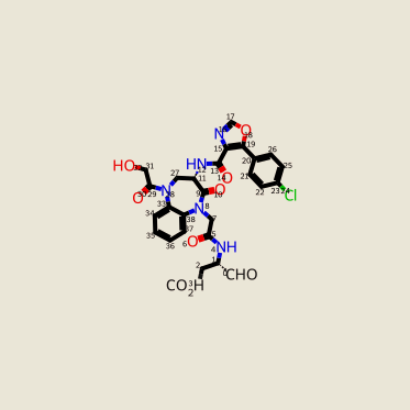 O=C[C@H](CC(=O)O)NC(=O)CN1C(=O)[C@@H](NC(=O)c2ncoc2-c2ccc(Cl)cc2)CN(C(=O)CO)c2ccccc21